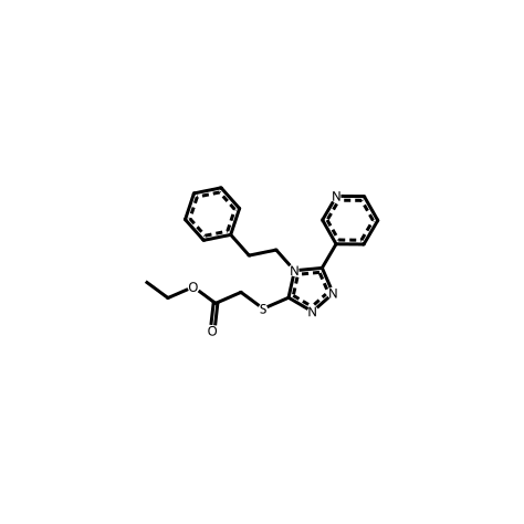 CCOC(=O)CSc1nnc(-c2cccnc2)n1CCc1ccccc1